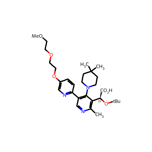 COCCOCCOc1ccc(-c2cnc(C)c([C@H](OC(C)(C)C)C(=O)O)c2N2CCC(C)(C)CC2)nc1